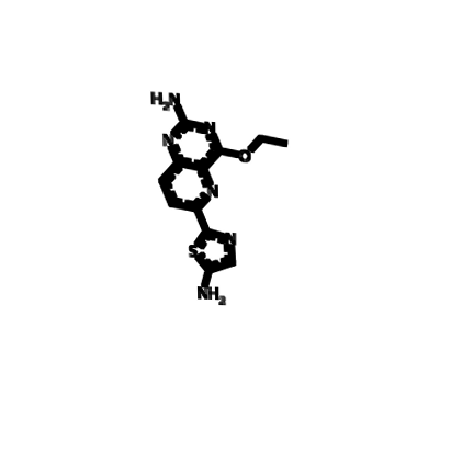 CCOc1nc(N)nc2ccc(-c3ncc(N)s3)nc12